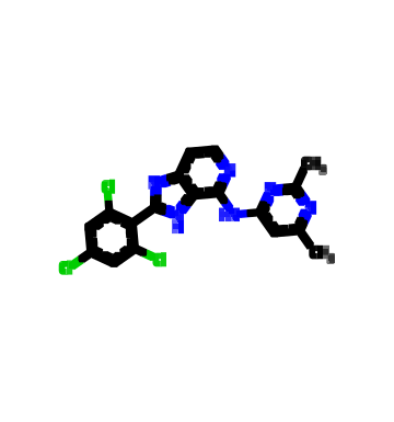 Cc1cc(Nc2nccc3nc(-c4c(Cl)cc(Cl)cc4Cl)[nH]c23)nc(C)n1